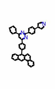 c1ccc(-c2cc(-c3ccc(-c4c5ccccc5cc5c4ccc4ccccc45)cc3)nc(-c3ccc(-c4ccncc4)cc3)n2)cc1